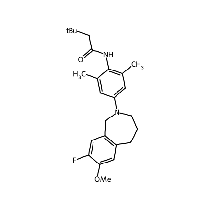 COc1cc2c(cc1F)CN(c1cc(C)c(NC(=O)CC(C)(C)C)c(C)c1)CCC2